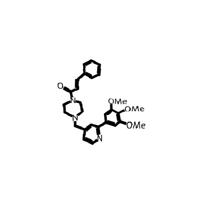 COc1cc(-c2cc(CN3CCN(C(=O)C=Cc4ccccc4)CC3)ccn2)cc(OC)c1OC